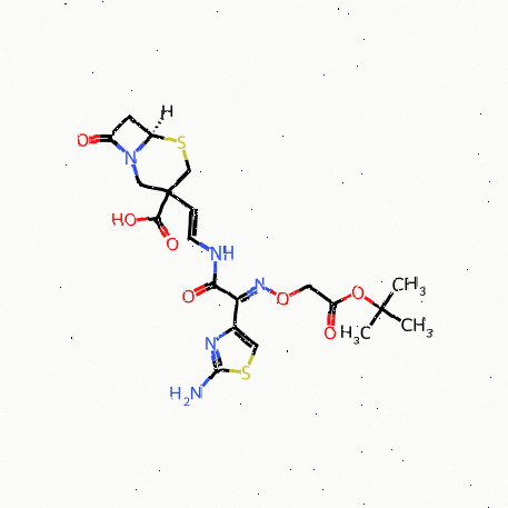 CC(C)(C)OC(=O)CON=C(C(=O)NC=CC1(C(=O)O)CS[C@@H]2CC(=O)N2C1)c1csc(N)n1